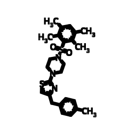 Cc1ccc(Cc2csc(N3CCN(S(=O)(=O)c4c(C)c(C)cc(C)c4C)CC3)n2)cc1